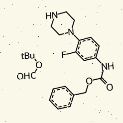 CC(C)(C)OC=O.O=C(Nc1ccc(N2CCNCC2)c(F)c1)OCc1ccccc1